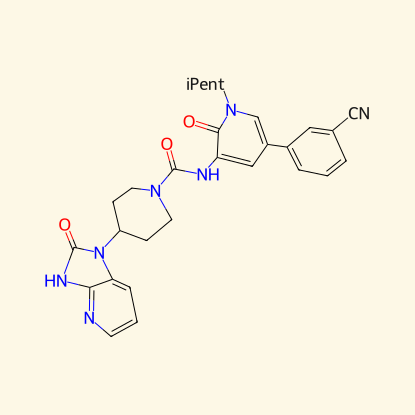 CCCC(C)n1cc(-c2cccc(C#N)c2)cc(NC(=O)N2CCC(n3c(=O)[nH]c4ncccc43)CC2)c1=O